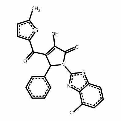 Cc1ccc(C(=O)C2=C(O)C(=O)N(c3nc4c(Cl)cccc4s3)C2c2ccccc2)s1